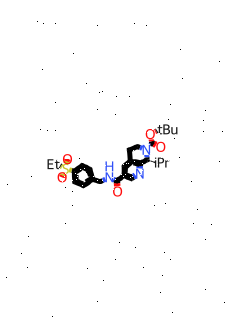 CCS(=O)(=O)c1ccc(CNC(=O)c2cnc3c(c2)CCN(C(=O)OC(C)(C)C)[C@@H]3C(C)C)cc1